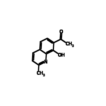 CC(=O)c1ccc2ccc(C)nc2c1O